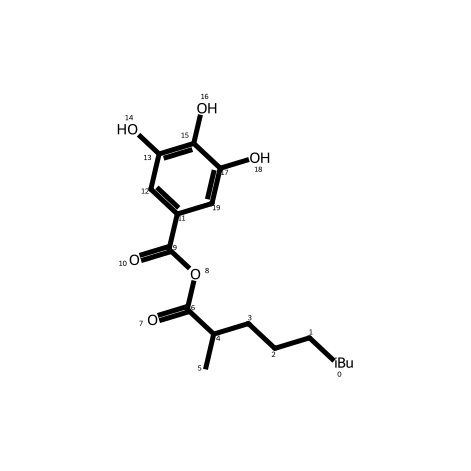 CCC(C)CCCC(C)C(=O)OC(=O)c1cc(O)c(O)c(O)c1